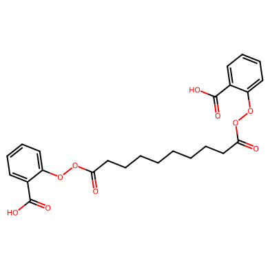 O=C(CCCCCCCCC(=O)OOc1ccccc1C(=O)O)OOc1ccccc1C(=O)O